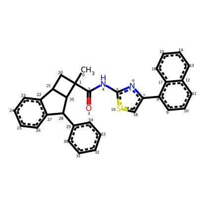 CC1(C(=O)Nc2nc(-c3cccc4ccccc34)cs2)CC2c3ccccc3C(c3ccccc3)C21